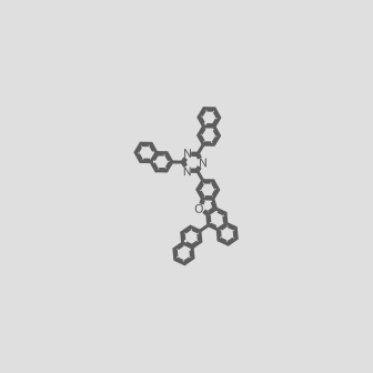 c1ccc2cc(-c3nc(-c4ccc5ccccc5c4)nc(-c4ccc5c(c4)oc4c(-c6ccc7ccccc7c6)c6ccccc6cc45)n3)ccc2c1